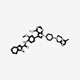 COc1cc(-c2cn([C@H]3CC[C@H](N4CCn5c(C)cnc5C4)CC3)c3ncnc(N)c23)ccc1NC(=O)c1cc2ccccc2n1C